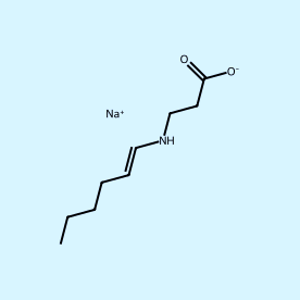 CCCCC=CNCCC(=O)[O-].[Na+]